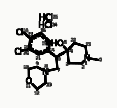 CN1CCC(O)(C(CN2CCOCC2)c2ccc(Cl)c(Cl)c2)CC1.Cl.Cl